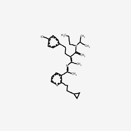 C=C(/C(CCc1ccc(Cl)cc1)=C(C)/N=C(\C)c1cccnc1CCC1CC1)N(CCC)C(C)C